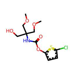 COCC(CO)(COC)NC(=O)Oc1ccc(Cl)s1